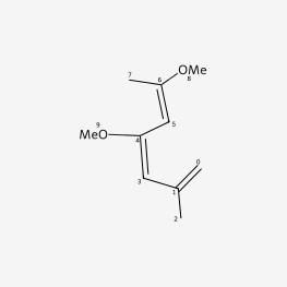 C=C(C)/C=C(\C=C(/C)OC)OC